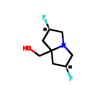 OCC12C[C@H](F)CN1C[C@H](F)C2